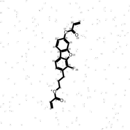 C=CC(=O)OCCCc1ccc2c(oc3cc(OC(=O)C=C)ccc32)c1F